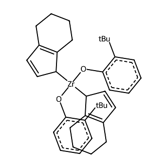 CC(C)(C)c1ccccc1[O][Zr]([O]c1ccccc1C(C)(C)C)([CH]1C=CC2=C1CCCC2)[CH]1C=CC2=C1CCCC2